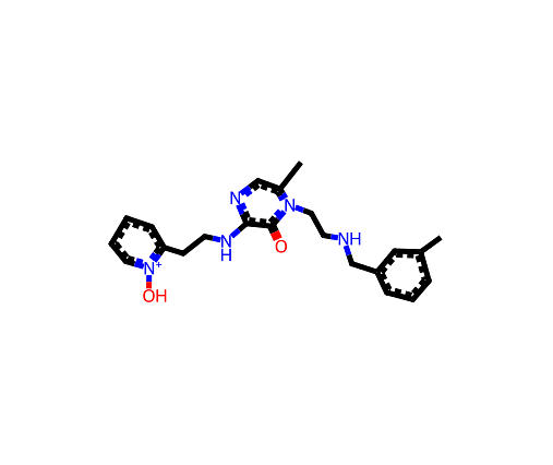 Cc1cccc(CNCCn2c(C)cnc(NCCc3cccc[n+]3O)c2=O)c1